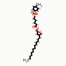 CCCCCCCCCCCCCCC1COC(COC(=O)CCCCCOS(=O)(=O)c2ccc(C)cc2)C1